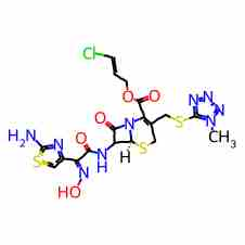 Cn1nnnc1SCC1=C(C(=O)OCC=CCl)N2C(=O)C(NC(=O)C(=NO)c3csc(N)n3)[C@@H]2SC1